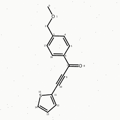 COCc1ccc(C(=O)C#Cc2cccs2)cc1